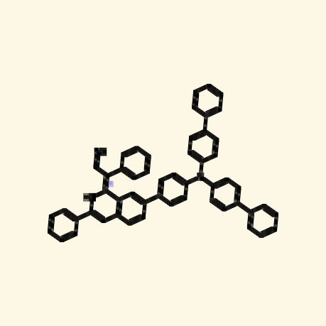 N=C/C(=C1\NC(c2ccccc2)=Cc2ccc(-c3ccc(N(c4ccc(-c5ccccc5)cc4)c4ccc(-c5ccccc5)cc4)cc3)cc21)c1ccccc1